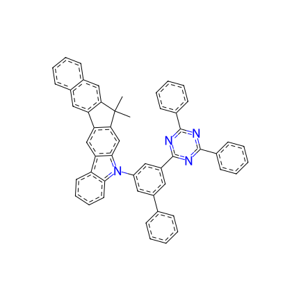 CC1(C)c2cc3ccccc3cc2-c2cc3c4ccccc4n(-c4cc(-c5ccccc5)cc(-c5nc(-c6ccccc6)nc(-c6ccccc6)n5)c4)c3cc21